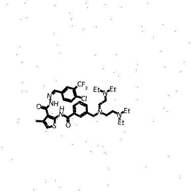 CCN(CC)CCN(CCN(CC)CC)Cc1cccc(C(=O)Nc2scc(C)c2C(=O)N/N=C\c2ccc(Cl)c(C(F)(F)F)c2)c1